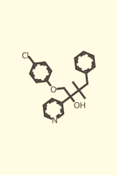 CC(C)(Cc1ccccc1)C(O)(COc1ccc(Cl)cc1)c1cccnc1